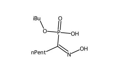 CCCCCC(=NO)P(=O)(O)OC(C)CC